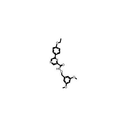 CCOc1ccc(-c2cncc(C(=O)NOCc3cc(OC)cc(OC)c3)n2)cc1